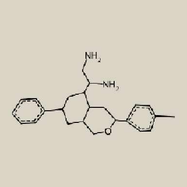 Cc1ccc(C2CC3C(CO2)CC(c2ccccc2)CC3C(N)CN)cc1